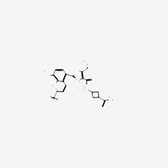 C=C(N)C1CC(NC(=O)c2nc(-c3ccc(OC)c4nc(C(F)(F)F)ccc34)oc2CN)C1